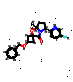 O=C1N2[C@@H](CC[C@H]2c2ccc(F)cn2)OC12CC(OCc1ccccc1)C2